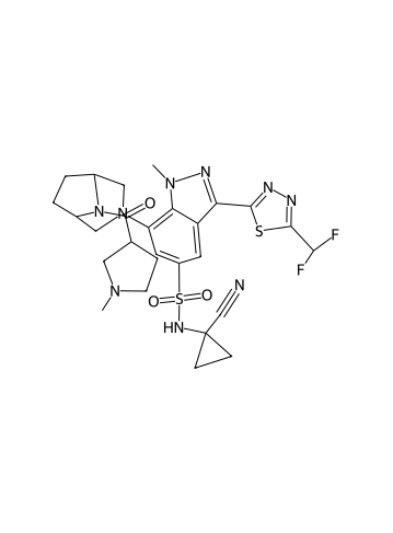 CN1CCC(C(=O)N2C3CCC2CN(c2cc(S(=O)(=O)NC4(C#N)CC4)cc4c(-c5nnc(C(F)F)s5)nn(C)c24)C3)C1